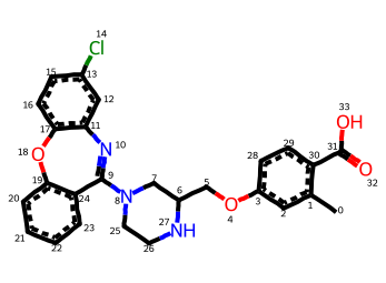 Cc1cc(OCC2CN(C3=Nc4cc(Cl)ccc4Oc4ccccc43)CCN2)ccc1C(=O)O